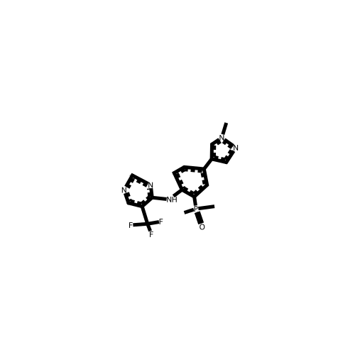 Cn1cc(-c2ccc(Nc3n[c]ncc3C(F)(F)F)c(P(C)(C)=O)c2)cn1